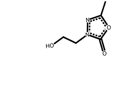 Cc1nn(CCO)c(=O)o1